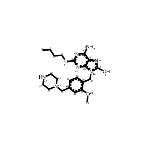 CCCCOc1nc(N)c2nc(O)n(Cc3ccc(CN4CCNCC4)cc3OC)c2n1